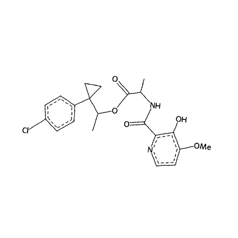 COc1ccnc(C(=O)NC(C)C(=O)OC(C)C2(c3ccc(Cl)cc3)CC2)c1O